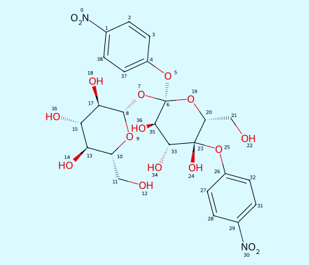 O=[N+]([O-])c1ccc(O[C@]2(O[C@@H]3O[C@H](CO)[C@@H](O)[C@H](O)[C@H]3O)O[C@H](CO)[C@](O)(Oc3ccc([N+](=O)[O-])cc3)[C@H](O)[C@H]2O)cc1